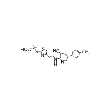 CC(C)(Sc1nc(CCNc2ncc(-c3ccc(C(F)(F)F)cc3)cc2C#N)cs1)C(=O)O